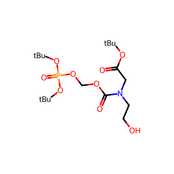 CC(C)(C)OC(=O)CN(CCO)C(=O)OCOP(=O)(OC(C)(C)C)OC(C)(C)C